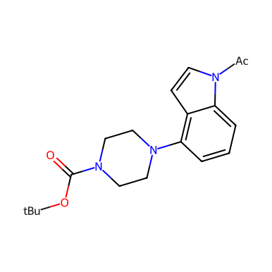 CC(=O)n1ccc2c(N3CCN(C(=O)OC(C)(C)C)CC3)cccc21